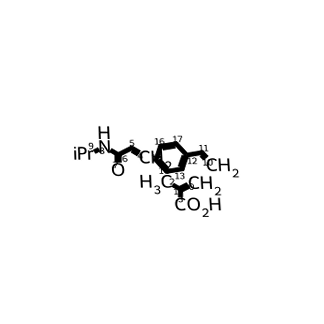 C=C(C)C(=O)O.C=CC(=O)NC(C)C.C=Cc1ccccc1